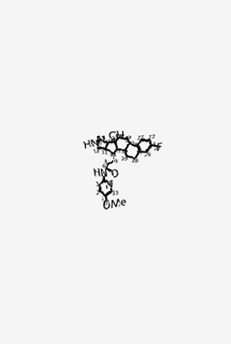 COc1ccc(NC(=O)CC[C@@H]2c3c[nH]nc3[C@@]3(C)CCC4c5ccc(F)cc5CCC4C23)nc1